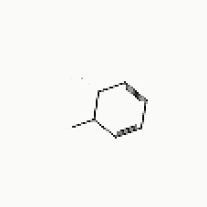 C[C@@H]1C=CC=CC1F